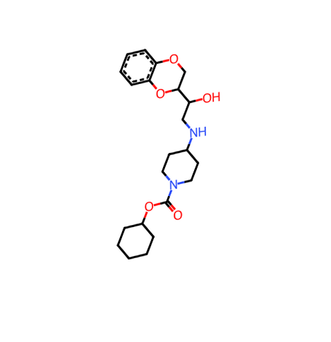 O=C(OC1CCCCC1)N1CCC(NCC(O)C2COc3ccccc3O2)CC1